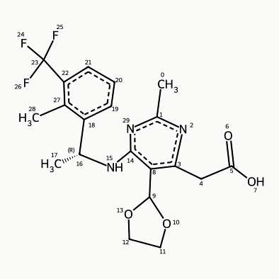 Cc1nc(CC(=O)O)c(C2OCCO2)c(N[C@H](C)c2cccc(C(F)(F)F)c2C)n1